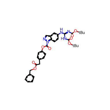 CC(C)(C)OC(=O)/N=C(\NC(=O)OC(C)(C)C)Nc1ccc2c(cnn2C(=O)Oc2ccc(CC(=O)OCc3ccccc3)cc2)c1